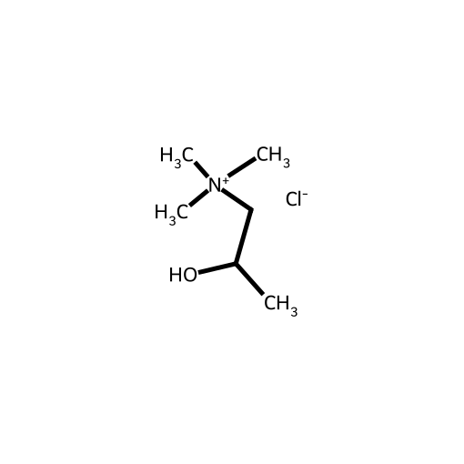 CC(O)C[N+](C)(C)C.[Cl-]